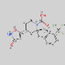 C[C@@]1(Cc2cccc(C(F)(F)F)c2)C[C@H](c2cc(=O)[nH]o2)CCN1C(=O)O